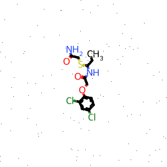 CCC(NC(=O)COc1ccc(Cl)cc1Cl)SCC(N)=O